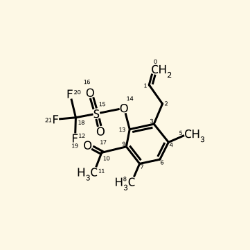 C=CCc1c(C)cc(C)c(C(C)=O)c1OS(=O)(=O)C(F)(F)F